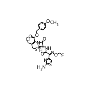 COc1ccc(COC(=O)C2=C(CCl)CS[C@H]3[C@H](NC(=O)C(=NOCF)c4csc(N)n4)C(=O)N23)cc1